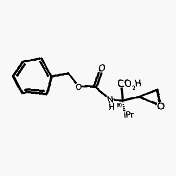 CC(C)[C@](NC(=O)OCc1ccccc1)(C(=O)O)C1CO1